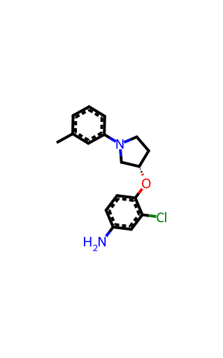 Cc1cccc(N2CC[C@H](Oc3ccc(N)cc3Cl)C2)c1